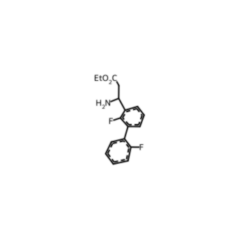 CCOC(=O)CC(N)c1cccc(-c2ccccc2F)c1F